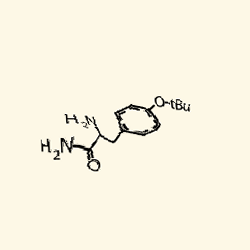 CC(C)(C)Oc1ccc(C[C@H](N)C(N)=O)cc1